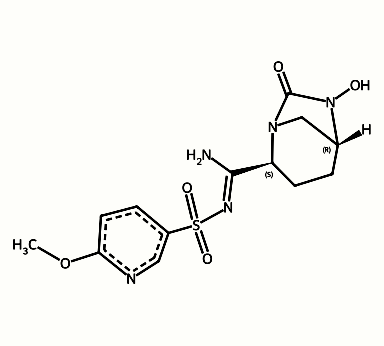 COc1ccc(S(=O)(=O)N=C(N)[C@@H]2CC[C@@H]3CN2C(=O)N3O)cn1